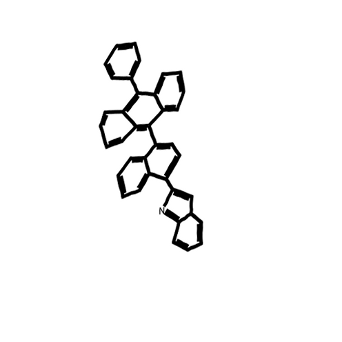 C1=CC2=NC(c3ccc(-c4c5ccccc5c(-c5ccccc5)c5ccccc45)c4ccccc34)=CC2C=C1